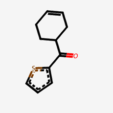 O=C(c1cccs1)C1CC=CCC1